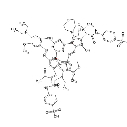 CCN(CC)c1cc(Nc2nc(Nc3cc(N(CC)CC)c(OC)cc3/N=N/c3nc(N4CCOCC4)c(C(C(C)=O)C(=O)Nc4ccc(S(=O)(=O)O)cc4)s3)nc(N(CCO)CCO)n2)c(/N=N/c2nc(N3CCOCC3)c(/C=C(\C(C)=O)C(=O)Nc3ccc(S(=O)(=O)O)cc3)s2)cc1OC